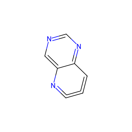 C1=C=Nc2cncnc2C=1